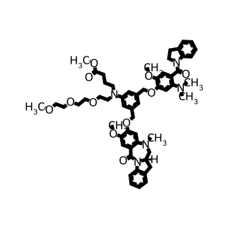 COCCOCCOCCN(CCCC(=O)OC)c1cc(COc2cc(N(C)C)c(C(=O)N3CCc4ccccc43)cc2OC)cc(COc2cc3c(cc2OC)C(=O)N2c4ccccc4C[C@H]2CN3C)c1